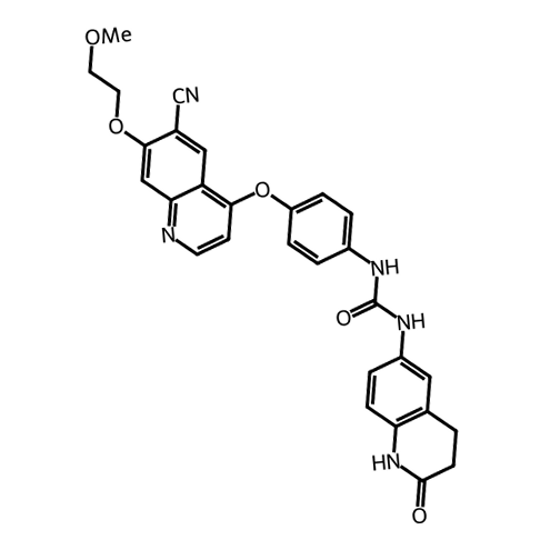 COCCOc1cc2nccc(Oc3ccc(NC(=O)Nc4ccc5c(c4)CCC(=O)N5)cc3)c2cc1C#N